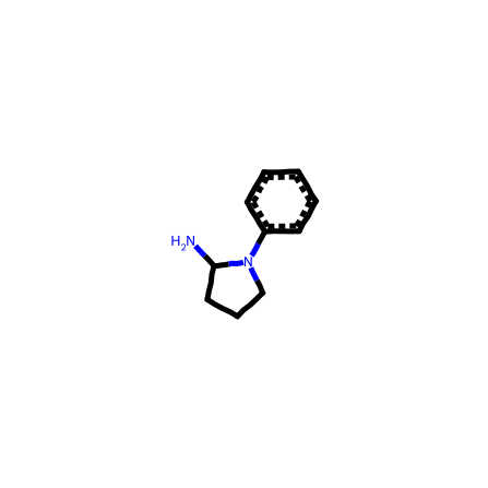 NC1CCCN1c1ccccc1